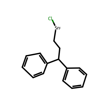 [Cl][Sn][CH2]CC(c1ccccc1)c1ccccc1